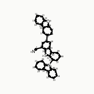 N#Cc1cc(-c2ccc3oc4ccccc4c3c2)cc2c1sc1c(-n3c4ccccc4c4ccccc43)cccc12